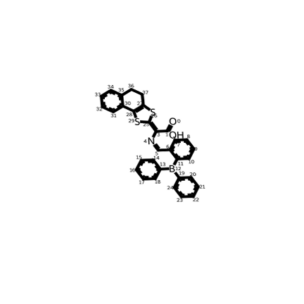 O=C(O)C(N=Cc1ccccc1B(c1ccccc1)c1ccccc1)=C1SC2=C(S1)c1ccccc1CC2